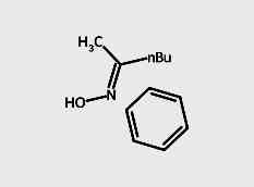 CCCCC(C)=NO.c1ccccc1